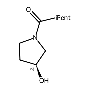 CCCC(C)C(=O)N1CC[C@H](O)C1